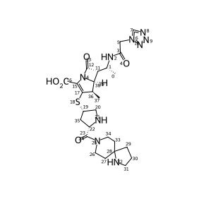 C[C@@H](NC(=O)Cn1cnnn1)[C@H]1C(=O)N2C(C(=O)O)=C(S[C@@H]3CN[C@H](C(=O)N4CCC5(CCCN5)CC4)C3)[C@H](C)[C@H]12